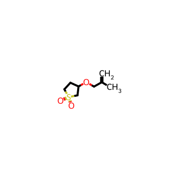 C=C(C)COC1CCS(=O)(=O)C1